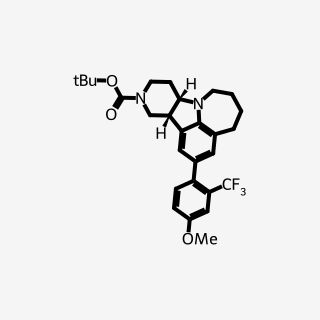 COc1ccc(-c2cc3c4c(c2)[C@@H]2CN(C(=O)OC(C)(C)C)CC[C@@H]2N4CCCC3)c(C(F)(F)F)c1